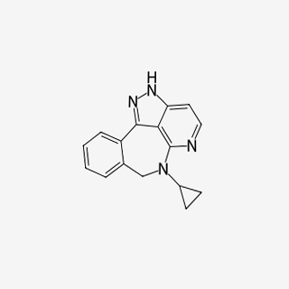 c1ccc2c(c1)CN(C1CC1)c1nccc3[nH]nc-2c13